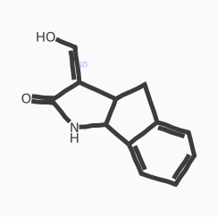 O=C1NC2c3ccccc3CC2/C1=C/O